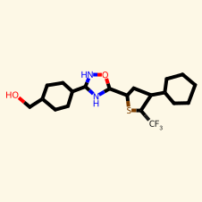 OCC1CCC(C2NOC(C3CC(C4CCCCC4)C(C(F)(F)F)S3)N2)CC1